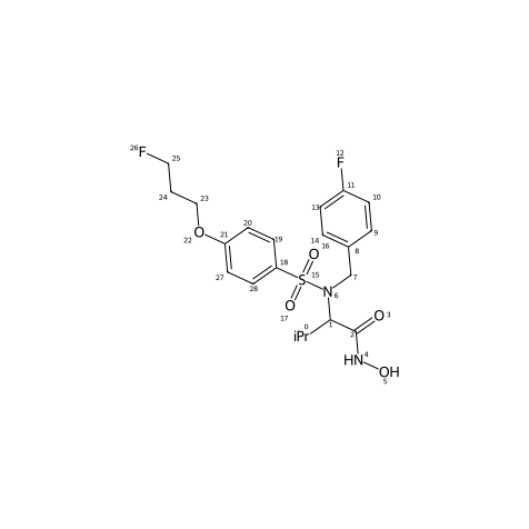 CC(C)C(C(=O)NO)N(Cc1ccc(F)cc1)S(=O)(=O)c1ccc(OCCCF)cc1